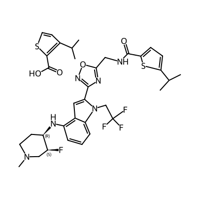 CC(C)c1ccc(C(=O)NCc2nc(-c3cc4c(N[C@@H]5CCN(C)C[C@@H]5F)cccc4n3CC(F)(F)F)no2)s1.CC(C)c1ccsc1C(=O)O